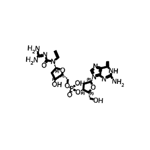 C=CN(C(=O)N=C(N)N)[C@H]1C[C@@H](O)[C@@H](COP(=O)(O)O[C@@H]2C[C@H](n3cnc4c3N=C(N)NC4=C)O[C@@H]2CO)O1